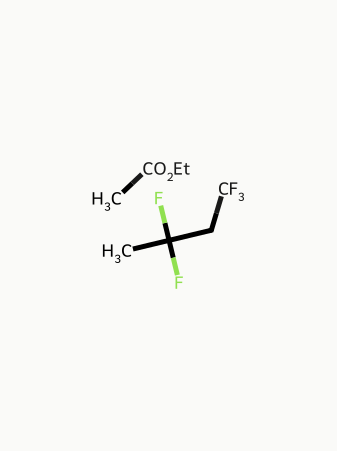 CC(F)(F)CC(F)(F)F.CCOC(C)=O